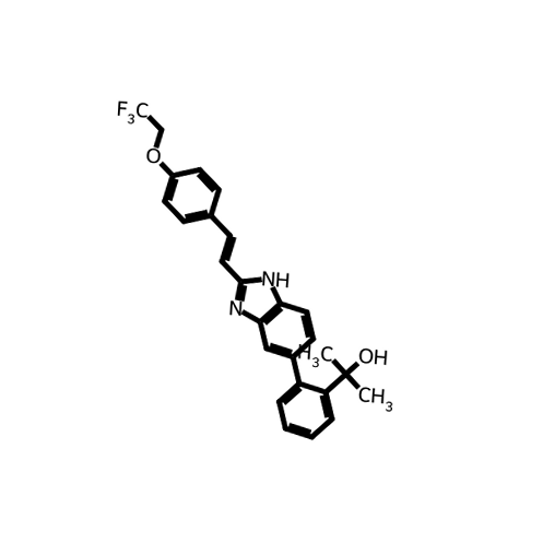 CC(C)(O)c1ccccc1-c1ccc2[nH]c(C=Cc3ccc(OCC(F)(F)F)cc3)nc2c1